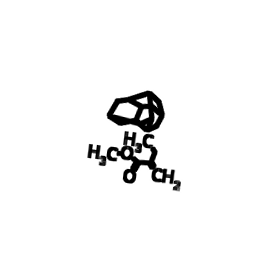 C1C2CC3C4CC5CC(C14)C(C2)C3C5.C=C(CC)C(=O)OC